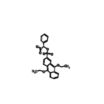 CCOc1c2ccccc2c(OCC)c2cc(S(=O)(=O)OC(c3ccccc3)[N+](=O)[O-])ccc12